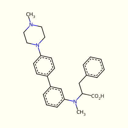 CN1CCN(c2ccc(-c3cccc(N(C)C(Cc4ccccc4)C(=O)O)c3)cc2)CC1